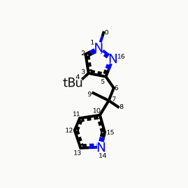 Cn1cc(C(C)(C)C)c(CC(C)(C)c2cccnc2)n1